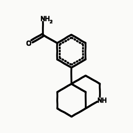 NC(=O)c1cccc(C23CCCC(C2)NCC3)c1